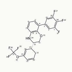 Fc1cc(-c2cccc3c2OC[C@H](C2C=C(OC(F)(F)F)C=CC2)N3)cc(F)c1F